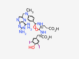 CN(Cc1cnc2nc(N)nc(N)c2n1)c1ccc(C(=O)N[C@@H](CCC(=O)O)C(=O)N[C@@H](Cc2cc(I)c(O)c(I)c2)C(=O)O)cc1